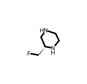 FC[C@@H]1CNCCN1